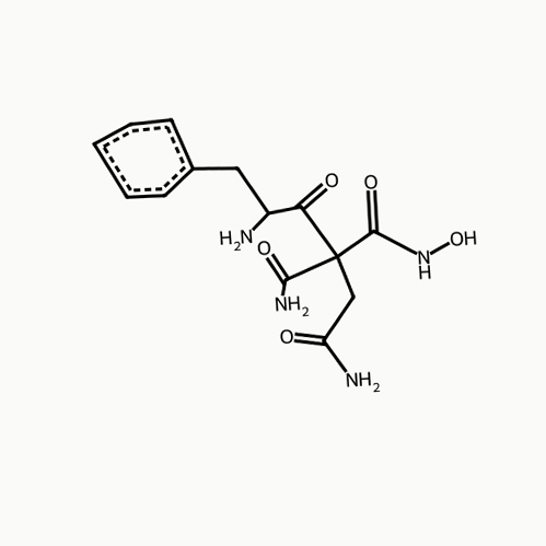 NC(=O)CC(C(N)=O)(C(=O)NO)C(=O)C(N)Cc1ccccc1